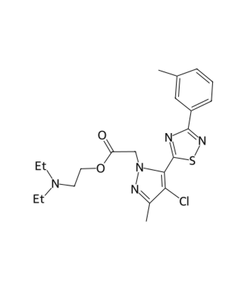 CCN(CC)CCOC(=O)Cn1nc(C)c(Cl)c1-c1nc(-c2cccc(C)c2)ns1